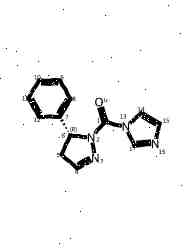 O=C(N1N=CC[C@@H]1c1ccccc1)n1ccnc1